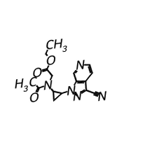 CCOC(=O)CN(C(C)=O)C1CC1n1nc(C#N)c2ccncc21